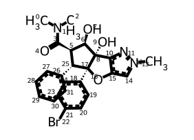 CN(C)C(=O)[C@H]1[C@@H](O)[C@@]2(O)c3nn(C)cc3O[C@@]2(c2ccc(Br)cc2)[C@@H]1c1ccccc1